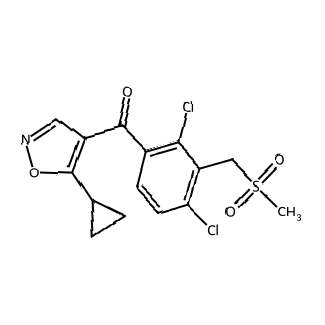 CS(=O)(=O)Cc1c(Cl)ccc(C(=O)c2cnoc2C2CC2)c1Cl